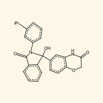 CC(C)c1cccc(N2C(=O)c3ccccc3C2(O)c2ccc3c(c2)NC(=O)CO3)c1